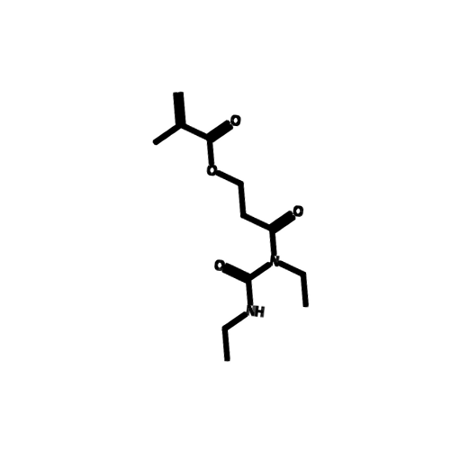 C=C(C)C(=O)OCCC(=O)N(CC)C(=O)NCC